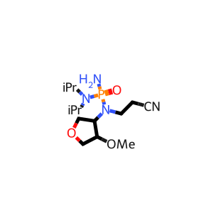 COC1COCC1N(CCC#N)P(N)(=O)N(C(C)C)C(C)C